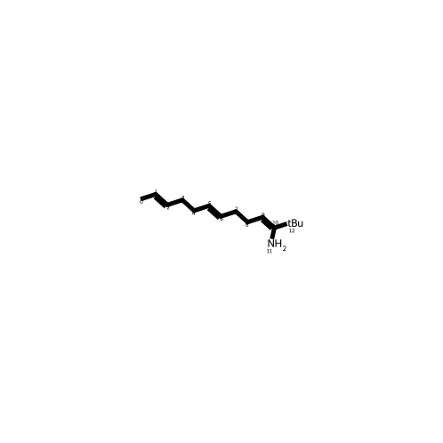 CC=CCCC=CCCC=C(N)C(C)(C)C